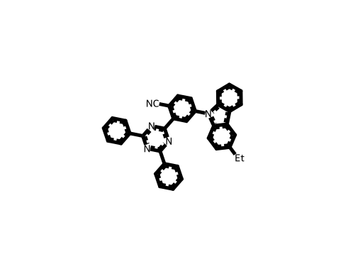 CCc1ccc2c(c1)c1ccccc1n2-c1ccc(C#N)c(-c2nc(-c3ccccc3)nc(-c3ccccc3)n2)c1